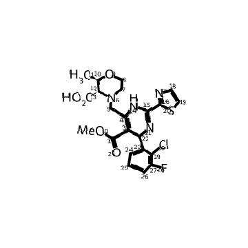 COC(=O)C1=C(CN2CCO[C@H](C)[C@H]2C(=O)O)NC(c2nccs2)=NC1c1cccc(F)c1Cl